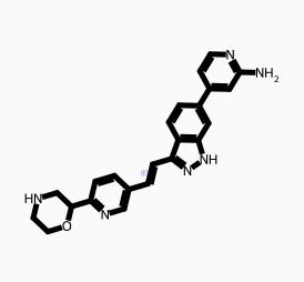 Nc1cc(-c2ccc3c(/C=C/c4ccc(C5CNCCO5)nc4)n[nH]c3c2)ccn1